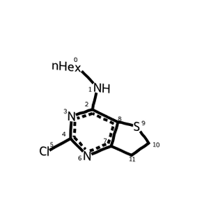 CCCCCCNc1nc(Cl)nc2c1SCC2